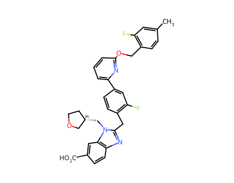 Cc1ccc(COc2cccc(-c3ccc(Cc4nc5ccc(C(=O)O)cc5n4C[C@H]4CCOC4)c(F)c3)n2)c(F)c1